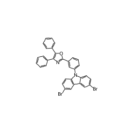 Brc1ccc2c(c1)c1cc(Br)ccc1n2-c1cccc(-c2nc(-c3ccccc3)c(-c3ccccc3)o2)c1